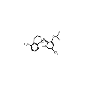 FC(F)OC1=CC(C(F)(F)F)=CN2C[C@]3(CCCc4c(C(F)(F)F)cccc43)N=C12